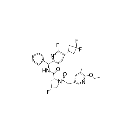 CCOc1ncc(CC(=O)N2C[C@H](F)C[C@H]2C(=O)N[C@@H](c2ccccc2)c2ccc(C3CC(F)(F)C3)c(F)n2)cc1C